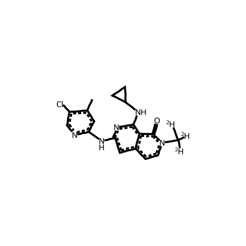 [2H]C([2H])([2H])n1ccc2cc(Nc3cc(C)c(Cl)cn3)nc(NC3CC3)c2c1=O